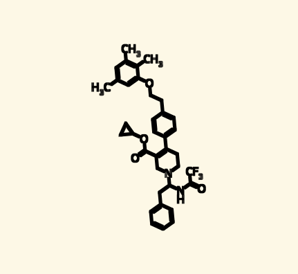 Cc1cc(C)c(C)c(OCCc2ccc(C3=C(C(=O)OC4CC4)CN(C(Cc4ccccc4)NC(=O)C(F)(F)F)CC3)cc2)c1